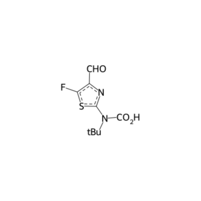 CC(C)(C)N(C(=O)O)c1nc(C=O)c(F)s1